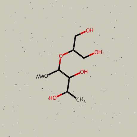 COC(OC(CO)CO)C(O)C(C)O